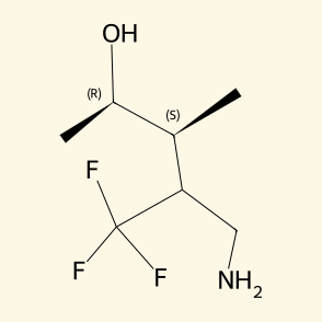 C[C@@H](O)[C@@H](C)C(CN)C(F)(F)F